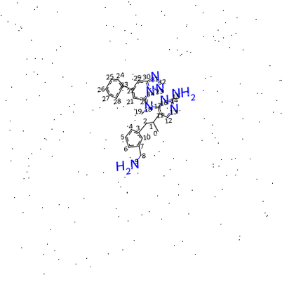 CC(Cc1cccc(CN)c1)c1cnc(N)nc1N(C)c1cc(-c2ccccc2)cc2ncnn12